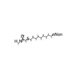 CCCCCCCCCCCCCCCCCCSCC(N)=O